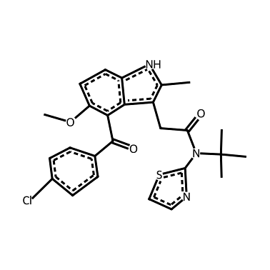 COc1ccc2[nH]c(C)c(CC(=O)N(c3nccs3)C(C)(C)C)c2c1C(=O)c1ccc(Cl)cc1